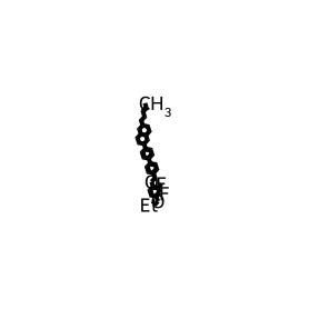 C/C=C/CCC1CCC2CC(c3ccc(-c4ccc(COc5ccc(OCC)c(F)c5F)cc4)cc3)CCC2C1